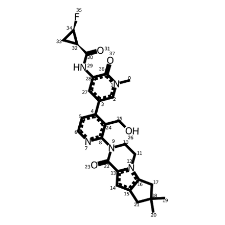 Cn1cc(-c2ccnc(N3CCn4c(cc5c4CC(C)(C)C5)C3=O)c2CO)cc(NC(=O)[C@H]2C[C@H]2F)c1=O